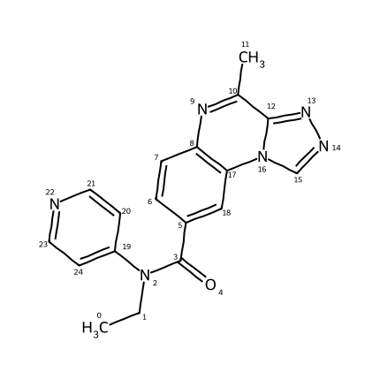 CCN(C(=O)c1ccc2nc(C)c3nncn3c2c1)c1ccncc1